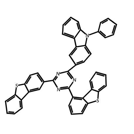 c1ccc(-n2c3ccccc3c3cc(-c4nc(-c5ccc6sc7ccccc7c6c5)nc(-c5cccc6sc7ccccc7c56)n4)ccc32)cc1